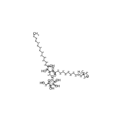 CCCCCCCCCCCCCC[C@@H](O)[C@@H](O)[C@H](CO[C@H]1O[C@H](CO)[C@H](O)[C@H](O)[C@H]1O)NC(=O)CCCCCCCCCCC1(C)COC1